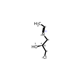 C/C=N/C[C@H](O)CCl